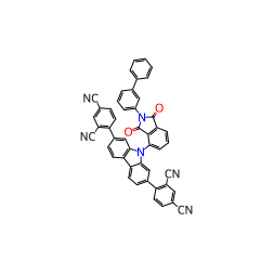 N#Cc1ccc(-c2ccc3c4ccc(-c5ccc(C#N)cc5C#N)cc4n(-c4cccc5c4C(=O)N(c4cccc(-c6ccccc6)c4)C5=O)c3c2)c(C#N)c1